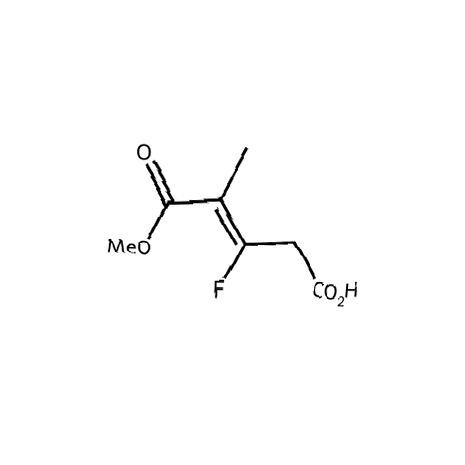 COC(=O)C(C)=C(F)CC(=O)O